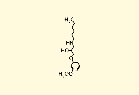 [CH2]CCCCCNCC(O)COc1cccc(OC)c1